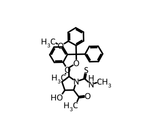 CNC(=S)N1C(COC(c2ccccc2)(c2ccccc2OC)c2ccccc2OC)CC(O)C1C(C)=O